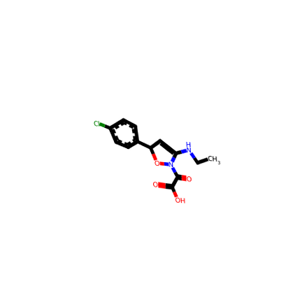 CCNC1=CC(c2ccc(Cl)cc2)ON1C(=O)C(=O)O